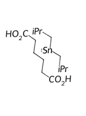 CC(C)[CH2][Sn][CH2]C(C)C.O=C(O)CCCCC(=O)O